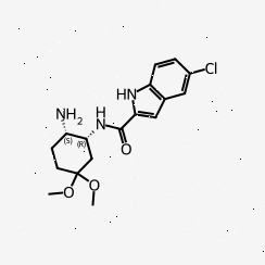 COC1(OC)CC[C@H](N)[C@H](NC(=O)c2cc3cc(Cl)ccc3[nH]2)C1